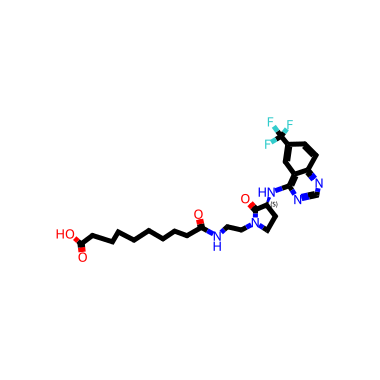 O=C(O)CCCCCCCCC(=O)NCCN1CC[C@H](Nc2ncnc3ccc(C(F)(F)F)cc23)C1=O